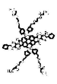 C=CC(=O)OCCOCCc1ccc(Oc2cc3c4c(cc(Oc5ccc(CCOCCOC(=O)C=C)cc5)c5c6c(Oc7ccc(CCOCCOC(=O)C=C)cc7)cc7c8c(cc(Oc9ccc(CCOCCOC(=O)C=C)cc9)c(c2c45)c86)C(=O)N(C(C(=O)N(CC)Cc2ccccc2)C(C)CC)C7=O)C(=O)N(C(C(=O)N(CC)Cc2ccccc2)C(C)CC)C3=O)cc1